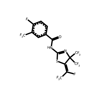 O=C(NC1=NC(C(F)(F)F)(C(F)(F)F)/C(=C(\F)C(F)(F)F)S1)c1ccc(F)c(C(F)(F)F)c1